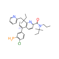 C/C=C(/c1ccc(Cl)c(P)c1)c1ccc(C(=O)N(CCC)C(C)(C)CC)nc1C(C)(CC)Cc1ccccn1